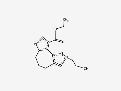 CCOC(=O)c1c[nH]c2c1-c1nn(CCO)cc1CCC2